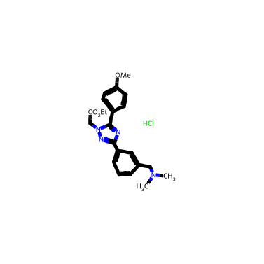 CCOC(=O)Cn1nc(-c2cccc(CN(C)C)c2)nc1-c1ccc(OC)cc1.Cl